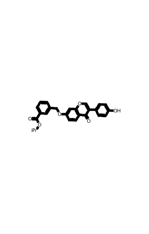 CC(C)OC(=O)c1cccc(COc2ccc3c(=O)c(-c4ccc(O)cc4)coc3c2)c1